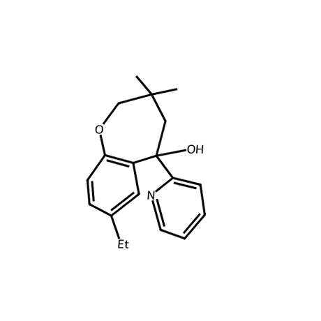 CCc1ccc2c(c1)C(O)(c1ccccn1)CC(C)(C)CO2